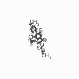 CCOC(=O)Oc1cn(C2CC2)c2c(Cl)c(N3CCN(CC)CC3)c(F)cc2c1=O